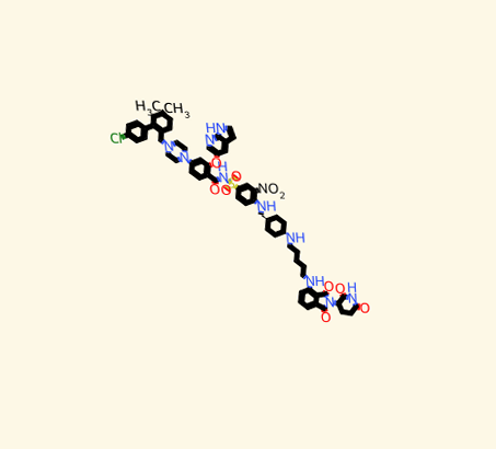 CC1(C)CCC(CN2CCN(c3ccc(C(=O)NS(=O)(=O)c4ccc(NC[C@H]5CC[C@@H](NCCCCCNc6cccc7c6C(=O)N(C6CCC(=O)NC6=O)C7=O)CC5)c([N+](=O)[O-])c4)c(Oc4cnc5[nH]ccc5c4)c3)CC2)=C(c2ccc(Cl)cc2)C1